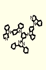 c1ccc(-c2cc(-c3ccccc3)nc(-c3cc(-n4c5ccccc5c5cc(-n6c7ccccc7c7ccncc76)ccc54)cc(-n4c5ccccc5c5cc(-n6c7ccccc7c7ccncc76)ccc54)c3)n2)cc1